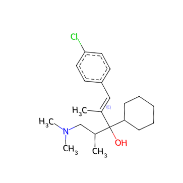 C/C(=C\c1ccc(Cl)cc1)C(O)(C(C)CN(C)C)C1CCCCC1